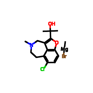 CN1CCc2c(Cl)ccc3oc(C(C)(C)O)c(c23)C1.[CH3][Mg][Br]